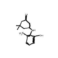 CC1(C)CC(=O)CC(Nc2c(N)cccc2O)C1